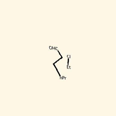 CCCCCC=O.CCCl